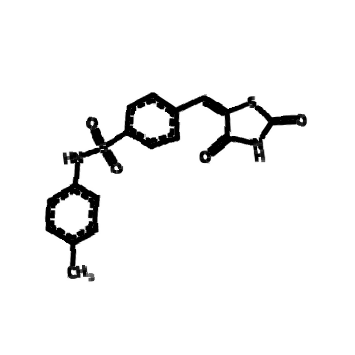 Cc1ccc(NS(=O)(=O)c2ccc(C=C3SC(=O)NC3=O)cc2)cc1